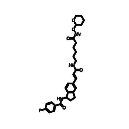 O=C(/C=C/c1ccc2c(c1)CCC2NC(=O)c1ccc(F)cc1)NCCCCCC(=O)NOC1CCCCO1